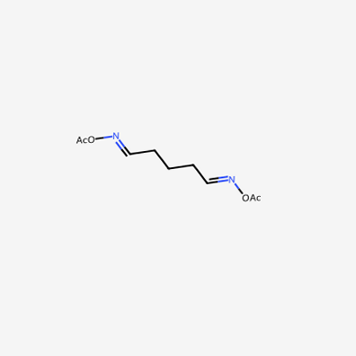 CC(=O)ON=CCCCC=NOC(C)=O